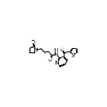 O=C(CCCN1CCCC1=O)Nc1ncccc1C(=O)c1cccs1